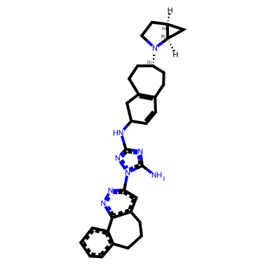 Nc1nc(NC2C=CC3=C(CC[C@H](N4CC[C@H]5C[C@H]54)CC3)C2)nn1-c1cc2c(nn1)-c1ccccc1CCC2